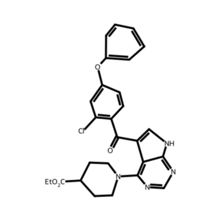 CCOC(=O)C1CCN(c2ncnc3[nH]cc(C(=O)c4ccc(Oc5ccccc5)cc4Cl)c23)CC1